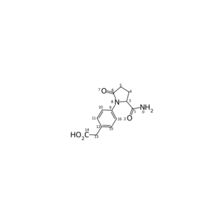 NC(=O)C1CCC(=O)N1c1ccc(CC(=O)O)cc1